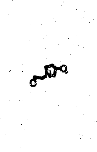 COC1CCN(CC=O)C1